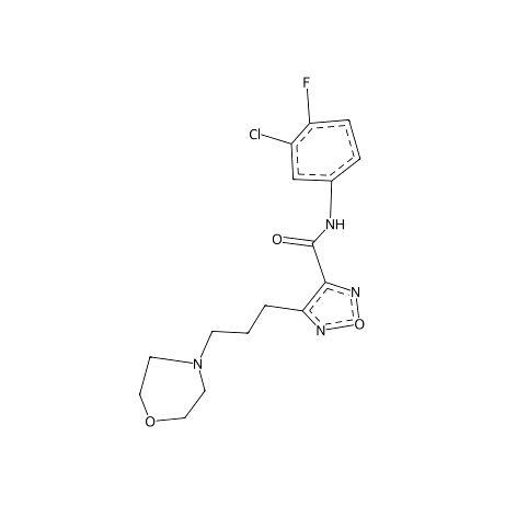 O=C(Nc1ccc(F)c(Cl)c1)c1nonc1CCCN1CCOCC1